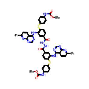 CC(C)c1ccc2c(Nc3cc(C(=O)NNC(=O)c4ccc(Sc5ccc(NC(=O)OC(C)(C)C)cc5)c(Nc5ncnc6nc(C(C)C)ccc56)c4)ccc3Sc3ccc(NC(=O)OC(C)(C)C)cc3)ncnc2n1